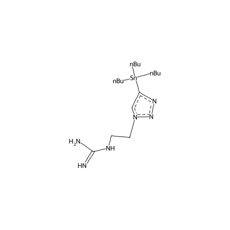 CCC[CH2][Sn]([CH2]CCC)([CH2]CCC)[c]1cn(CCNC(=N)N)nn1